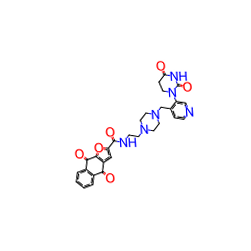 O=C1CCN(c2cnccc2CN2CCN(CCNC(=O)c3cc4c(o3)C(=O)c3ccccc3C4=O)CC2)C(=O)N1